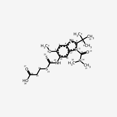 COc1cc2nc(C(C)(C)C)n(C(=O)N(C)C)c2cc1NC(=S)SCCC(=O)O